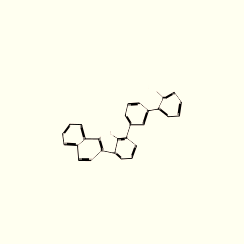 Brc1ccccc1-c1cccc(-c2cccc3c2oc2c4ccccc4ccc32)c1